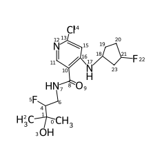 CC(C)(O)C(F)CNC(=O)c1cnc(Cl)cc1NC1CCC(F)C1